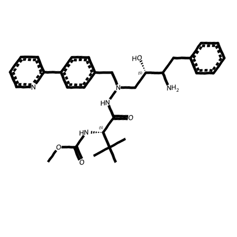 COC(=O)N[C@H](C(=O)NN(Cc1ccc(-c2ccccn2)cc1)C[C@H](O)C(N)Cc1ccccc1)C(C)(C)C